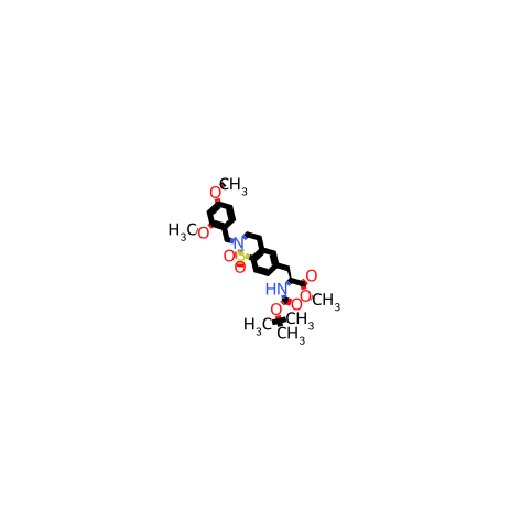 COC(=O)[C@H](Cc1ccc2c(c1)CCN(Cc1ccc(OC)cc1OC)S2(=O)=O)NC(=O)OC(C)(C)C